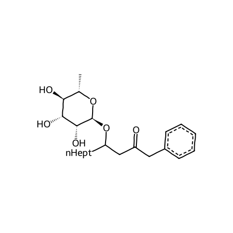 CCCCCCCC(CC(=O)Cc1ccccc1)O[C@@H]1O[C@@H](C)[C@H](O)[C@@H](O)[C@H]1O